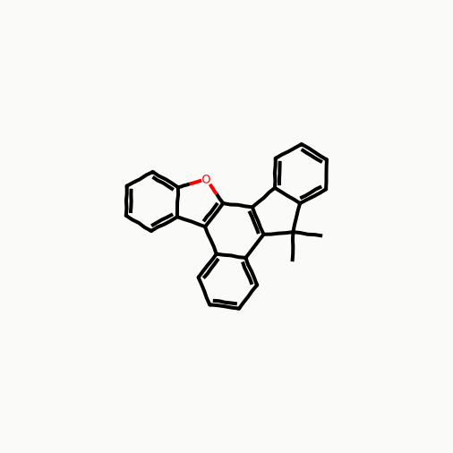 CC1(C)c2ccccc2-c2c1c1ccccc1c1c2oc2ccccc21